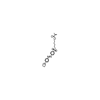 C=C(C)C(=O)OCCCCCCS(=O)(=O)c1ccc(N=Nc2ccc(N3CCCC3)cc2)cc1